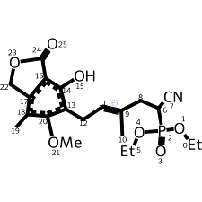 CCOP(=O)(OCC)C(C#N)C/C(C)=C/Cc1c(O)c2c(c(C)c1OC)COC2=O